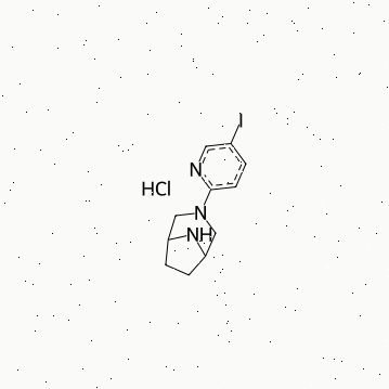 Cl.Ic1ccc(N2CC3CCC(C2)N3)nc1